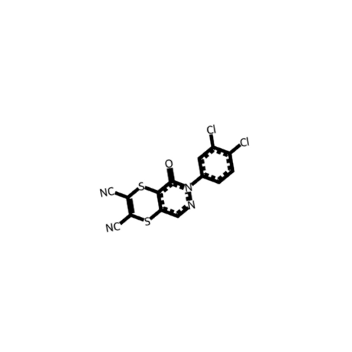 N#CC1=C(C#N)Sc2c(cnn(-c3ccc(Cl)c(Cl)c3)c2=O)S1